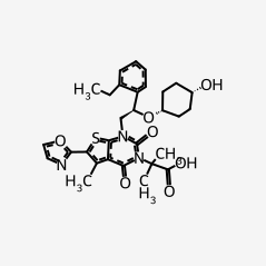 CCc1ccccc1[C@H](Cn1c(=O)n(C(C)(C)C(=O)O)c(=O)c2c(C)c(-c3ncco3)sc21)O[C@H]1CC[C@@H](O)CC1